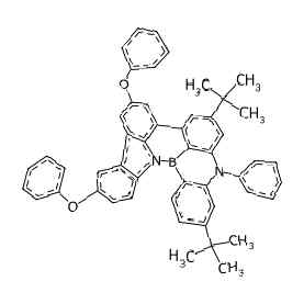 CC(C)(C)c1ccc2c(c1)N(c1ccccc1)c1cc(C(C)(C)C)cc3c1B2n1c2ccc(Oc4ccccc4)cc2c2cc(Oc4ccccc4)cc-3c21